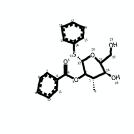 C[C@@H]1C(OC(=O)c2ccccc2)[C@H](Sc2ccccc2)OC(CO)[C@H]1O